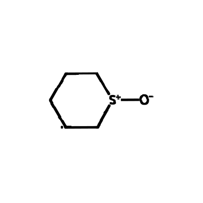 [O-][S+]1C[CH]CCC1